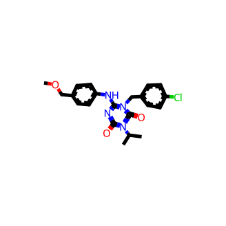 COCc1ccc(Nc2nc(=O)n(C(C)C)c(=O)n2Cc2ccc(Cl)cc2)cc1